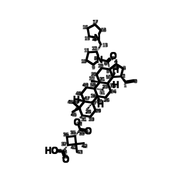 C=C[C@@H]1CC[C@]2(C(=O)N3CCC[C@@H]3CN3CCCC3)CC[C@]3(C)[C@H](CC[C@@H]4[C@@]5(C)CC[C@H](OC(=O)[C@H]6C[C@@H](C(=O)O)C6(C)C)C(C)(C)[C@@H]5CC[C@]43C)[C@@H]12